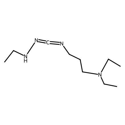 CCNN=C=NCCCN(CC)CC